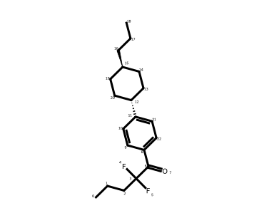 CCCC(F)(F)C(=O)c1ccc([C@H]2CC[C@H](CCC)CC2)cc1